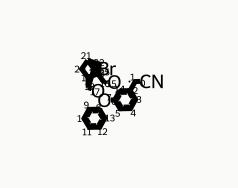 N#C[CH]c1cccc(Oc2ccccc2)c1O[C@@H]1OC2C3CC(CC31)[C@@H]2Br